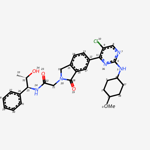 COC1CCC(Nc2ncc(Cl)c(-c3ccc4c(c3)C(=O)N(CC(=O)N[C@@H](c3ccccc3)[C@H](C)O)C4)n2)CC1